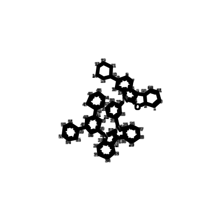 C1=CC2Oc3c(c4ccc(C5CCCCC5)cc4n3-c3cccc(-n4c5ccccc5c5c6ccccc6n(-c6cc(-c7ccccc7)cc(-c7ccccc7)c6)c54)c3)C2C=C1